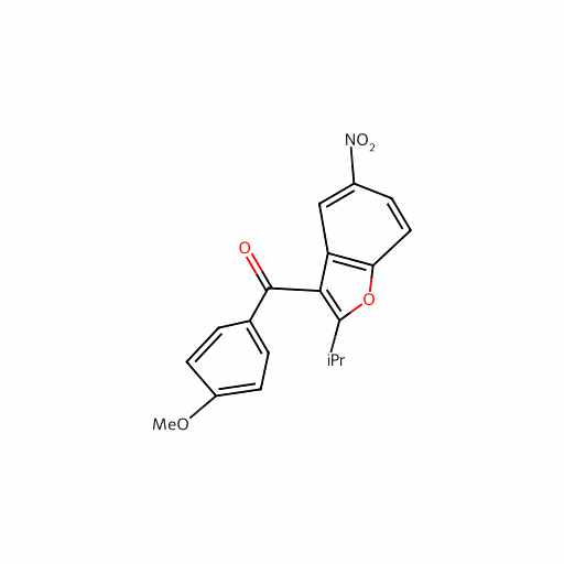 COc1ccc(C(=O)c2c(C(C)C)oc3ccc([N+](=O)[O-])cc23)cc1